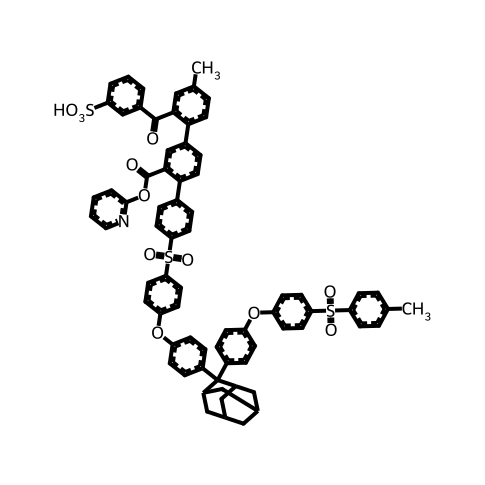 Cc1ccc(S(=O)(=O)c2ccc(Oc3ccc(C4(c5ccc(Oc6ccc(S(=O)(=O)c7ccc(-c8ccc(-c9ccc(C)cc9C(=O)c9cccc(S(=O)(=O)O)c9)cc8C(=O)Oc8ccccn8)cc7)cc6)cc5)C5CC6CC(C5)CC4C6)cc3)cc2)cc1